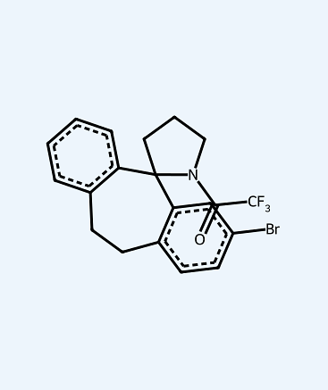 O=C(N1CCCC12c1ccccc1CCc1ccc(Br)cc12)C(F)(F)F